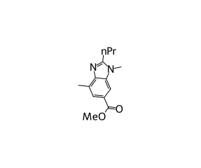 CCCc1nc2c(C)cc(C(=O)OC)cc2n1C